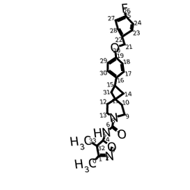 CC1=NOC(NC(=O)N2CCC3(CC2)CC(c2ccc(OCc4ccc(F)cc4)cc2)C3)C1C